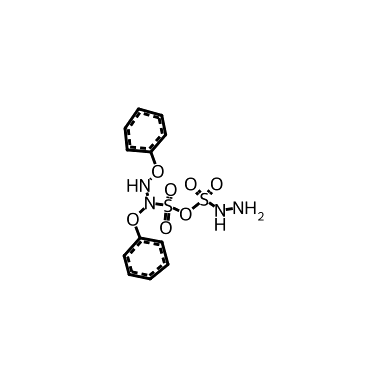 NNS(=O)(=O)OS(=O)(=O)N(NOc1ccccc1)Oc1ccccc1